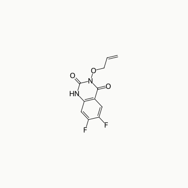 C=CCOn1c(=O)[nH]c2cc(F)c(F)cc2c1=O